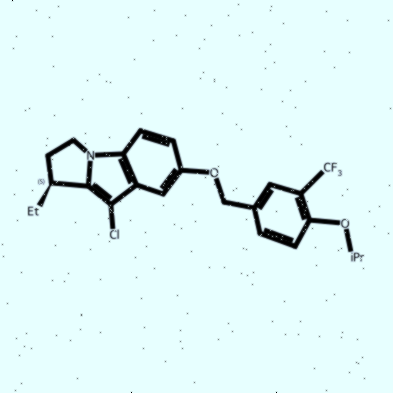 CC[C@H]1CCn2c1c(Cl)c1cc(OCc3ccc(OC(C)C)c(C(F)(F)F)c3)ccc12